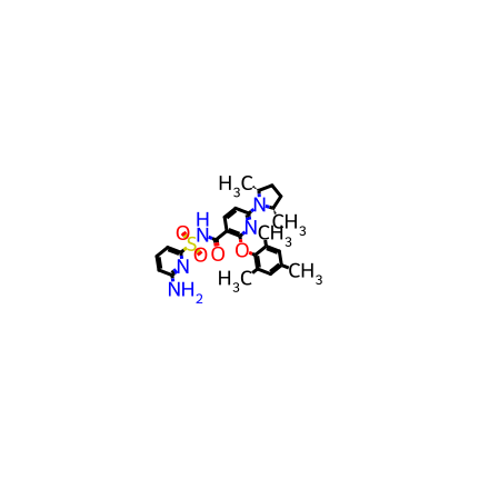 Cc1cc(C)c(Oc2nc(N3[C@H](C)CC[C@@H]3C)ccc2C(=O)NS(=O)(=O)c2cccc(N)n2)c(C)c1